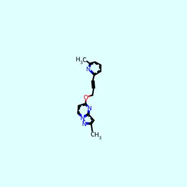 Cc1cccc(C#CCOc2ccn3nc(C)cc3n2)n1